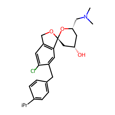 CC(C)c1ccc(Cc2cc3c(cc2Cl)CO[C@@]32C[C@@H](O)C[C@@H](CN(C)C)O2)cc1